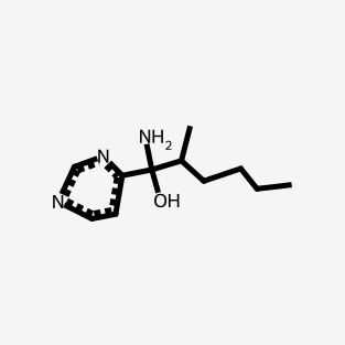 CCCCC(C)C(N)(O)c1ccncn1